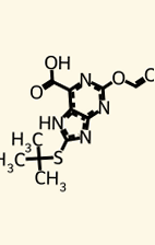 CC(C)(C)Sc1nc2nc(OC=O)nc(C(=O)O)c2[nH]1